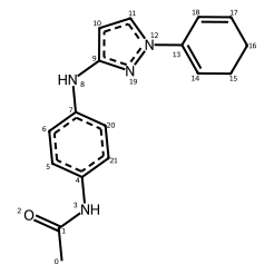 CC(=O)Nc1ccc(Nc2ccn(C3=CCCC=C3)n2)cc1